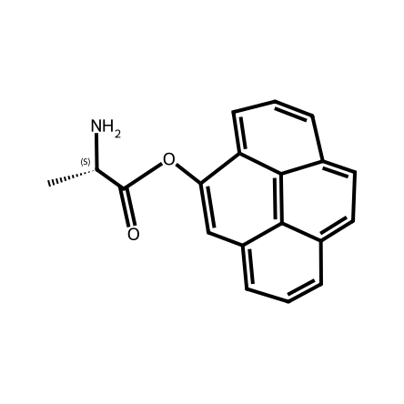 C[C@H](N)C(=O)Oc1cc2cccc3ccc4cccc1c4c32